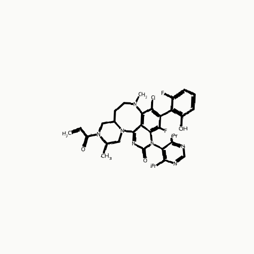 C=CC(=O)N1CC2CCN(C)c3c(Cl)c(-c4c(O)cccc4F)c(F)c4c3c(nc(=O)n4-c3c(C(C)C)ncnc3C(C)C)N2CC1C